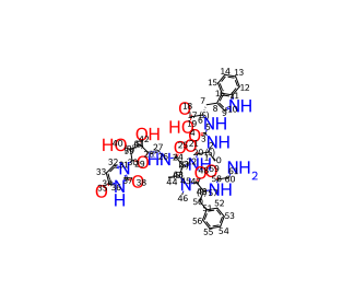 C[C@H](NC(=O)N[C@@H](Cc1c[nH]c2ccccc12)C(=O)O)C(=O)N[C@H](C(=O)N/C=C1\OC(n2ccc(=O)[nH]c2=O)[C@H](O)[C@@H]1O)[C@H](C)N(C)C(=O)[C@H](Cc1ccccc1)NC(=O)CN